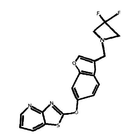 FC1(F)CN(Cc2coc3cc(Oc4nc5ncccc5s4)ccc23)C1